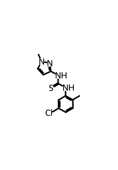 Cc1ccc(Cl)cc1NC(=S)Nc1ccn(C)n1